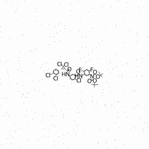 CC(C)(C)OC(=O)N(C(=O)OC(C)(C)C)c1cc(NC(=O)c2cc(NC(=O)[C@H]3[C@H](c4ccc(Cl)c(Cl)c4)C3(Cl)Cl)ccc2Cl)c(F)cc1F